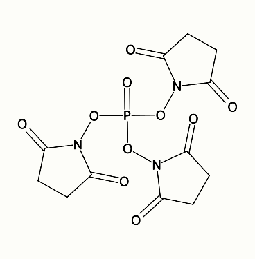 O=C1CCC(=O)N1OP(=O)(ON1C(=O)CCC1=O)ON1C(=O)CCC1=O